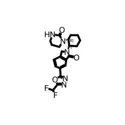 O=C1NCCCN1[C@@H]1CCCC[C@H]1N1Cc2ccc(-c3nnc(C(F)F)o3)cc2C1=O